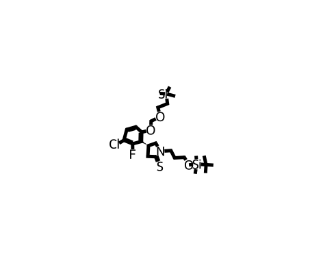 CC(C)(C)[Si](C)(C)OCCCN1C[C@@H](c2c(OCOCC[Si](C)(C)C)ccc(Cl)c2F)CC1=S